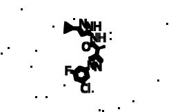 C[C@H](C(=O)Nc1cc(C2CC2)n[nH]1)c1cnn(-c2cc(F)cc(Cl)c2)c1